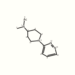 CC(=O)N(C)C1CCN(c2cccnn2)CC1